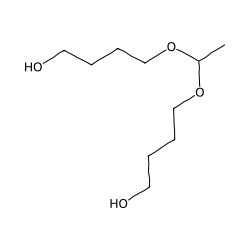 CC(OCCCCO)OCCCCO